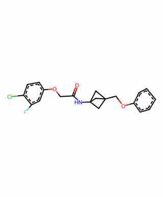 O=C(COc1ccc(Cl)c(F)c1)NC12CC(COc3ccccc3)(C1)C2